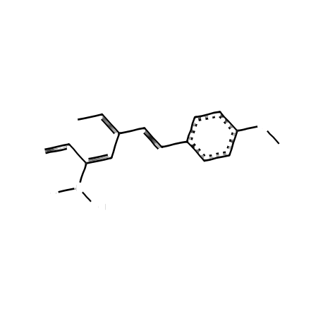 C=C\C(=C/C(=C\C)/C=C/c1ccc(OC)cc1)B(O)O